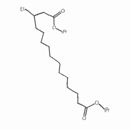 CCC(CCCCCCCCCCCC(=O)OC(C)C)CC(=O)OC(C)C